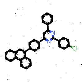 Clc1ccc(-c2nc(-c3ccccc3)cc(-c3ccc(-c4cc5ccccc5c5ccccc45)cc3)n2)cc1